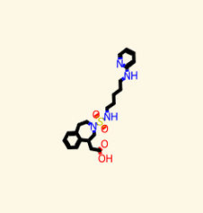 O=C(O)CC1CN(S(=O)(=O)NCCCCCNc2ccccn2)CCc2ccccc21